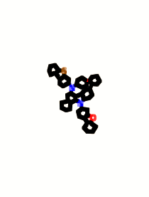 c1ccc(-c2ccc3c(c2)c2c(N(c4ccccc4)c4ccc5c(c4)sc4ccccc45)cc4ccccc4c2n3-c2ccc3c(c2)oc2ccccc23)cc1